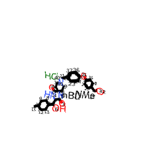 CCCCN1C(=O)[C@@H]([C@H](O)C2CCC(C)CC2)NC(=O)C12CCN(Cc1ccc(Oc3ccc(C(=O)NC)cc3)cc1)CC2.Cl